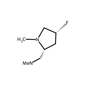 CNC[C@H]1C[C@@H](F)CN1C